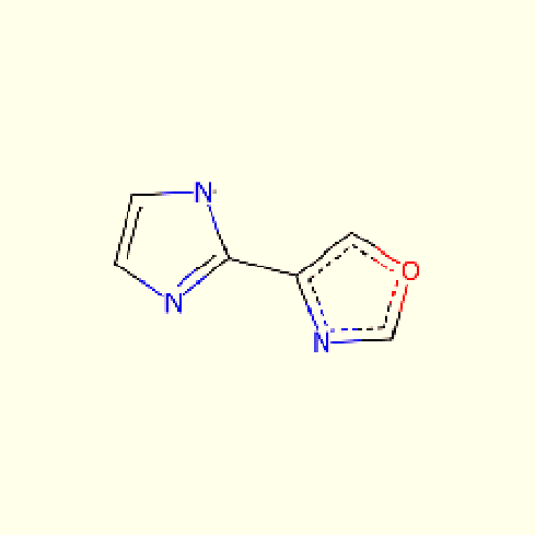 C1=CN=C(c2cocn2)[N]1